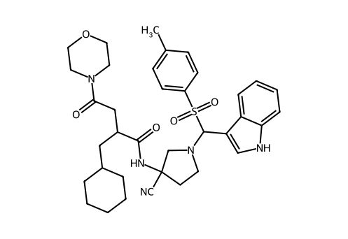 Cc1ccc(S(=O)(=O)C(c2c[nH]c3ccccc23)N2CCC(C#N)(NC(=O)C(CC(=O)N3CCOCC3)CC3CCCCC3)C2)cc1